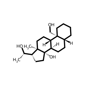 C[C@H](O)[C@H]1CC[C@]2(O)[C@@H]3CC[C@H]4CCCC[C@]4(CO)[C@H]3CC[C@]12C